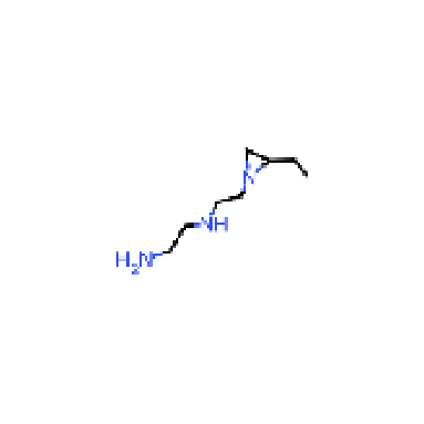 CCC1CN1CCNCCN